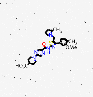 COc1cc(-c2nc(NC(=O)c3cnc(N4CCC(C(=O)O)CC4)cn3)sc2CN2CCC[C@H]2C)ccc1C